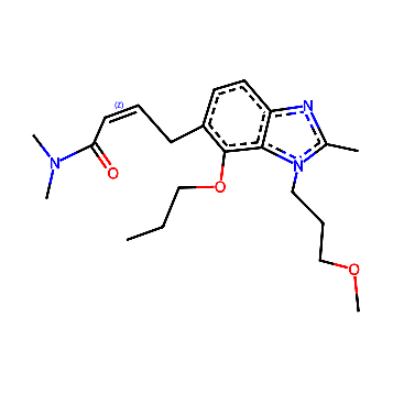 CCCOc1c(C/C=C\C(=O)N(C)C)ccc2nc(C)n(CCCOC)c12